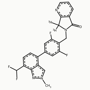 [2H]C1([2H])c2ncccc2C(=O)N1Cc1c(F)cc(-c2ccc(C(F)F)c3nn(C)cc23)cc1F